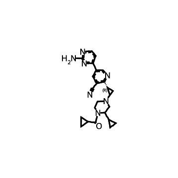 N#Cc1cc(-c2ccnc(N)n2)cnc1[C@@H]1CC1N1CCN(C(=O)C2CC2)C(C2CC2)C1